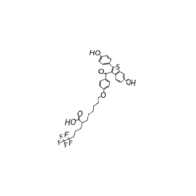 O=C(c1ccc(OCCCCCCC(CCCC(F)(F)C(F)(F)F)C(=O)O)cc1)c1c(-c2ccc(O)cc2)sc2cc(O)ccc12